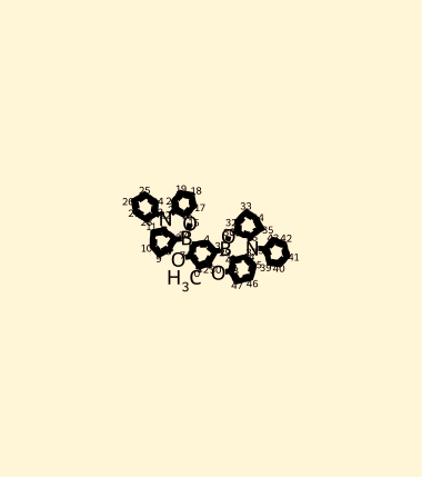 Cc1c2c(cc3c1Oc1cccc4c1B3Oc1ccccc1N4c1ccccc1)B1Oc3ccccc3N(c3ccccc3)c3cccc(c31)O2